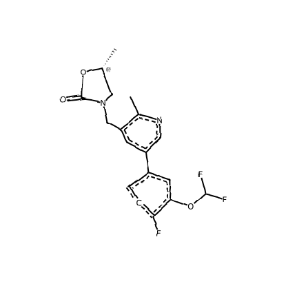 Cc1ncc(-c2ccc(F)c(OC(F)F)c2)cc1CN1C[C@@H](C)OC1=O